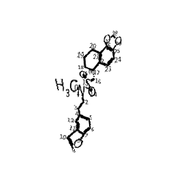 CN(CCc1ccc2occc2c1)S(=O)(=O)C[C@@H]1CCCc2c1ccc1c2OCO1